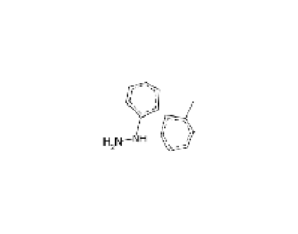 Cc1ccccc1.NNc1ccccc1